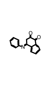 O=C1CC(=Nc2ccccc2)c2ccccc2C1=O